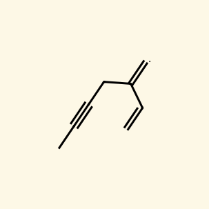 [CH]=C(C=C)CC#CC